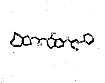 N=C/C(=C\NC1C=COCC1)Nc1ccc2c(c1)C(O)N(CC(O)CN1CCC3=C(C=C/C=C/C=C\3)C1)CC2